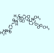 CCOC(=O)COc1cc(C)nc2c(OCc3c(Cl)ccc(N(C)C(=O)CNC(=O)C=Cc4ccc(C(=O)NC)cc4)c3Cl)cccc12